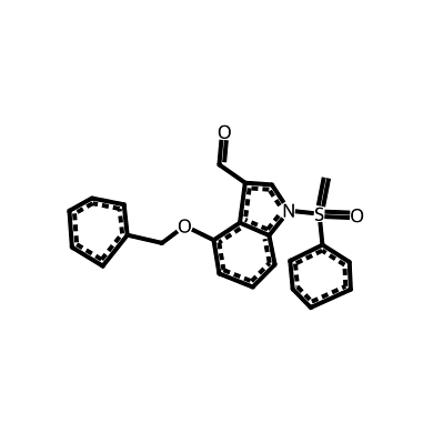 C=S(=O)(c1ccccc1)n1cc(C=O)c2c(OCc3ccccc3)cccc21